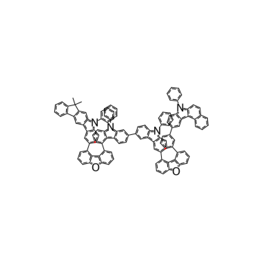 CC1(C)c2ccccc2-c2cc3c4cc(-c5cccc6oc7cccc(-c8cccc9c8c8ccc(-c%10ccc%11c(c%10)c%10cc(-c%12cccc%13oc%14cccc(-c%15cccc(-c%16ccc%17c(c%16)c%16c%18ccccc%18ccc%16n%17-c%16ccccc%16)c%15)c%14c%12%13)ccc%10n%11-c%10ccccc%10)cc8n9-c8ccccc8)c7c56)ccc4n(-c4ccccc4)c3cc21